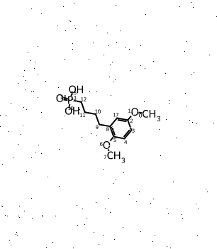 COc1ccc(OC)c(CCCCP(=O)(O)O)c1